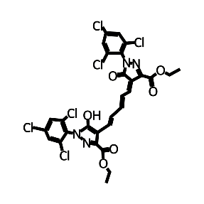 CCOC(=O)C1=NN(c2c(Cl)cc(Cl)cc2Cl)C(=O)\C1=C/C=C/C=C/c1c(C(=O)OCC)nn(-c2c(Cl)cc(Cl)cc2Cl)c1O